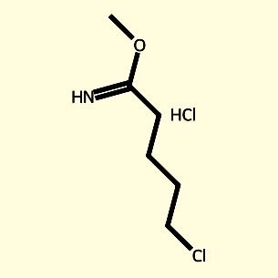 COC(=N)CCCCCl.Cl